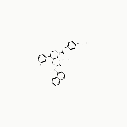 C[C@H](c1cccc2ccccc12)N(CC1CN(C(=O)Oc2ccc(C(=O)O)cc2)CCC1c1cccc(F)c1)C(=O)OC(C)(C)C